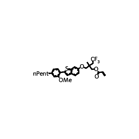 C=CC(=O)OCC(C)(COc1ccc2cc(-c3ccc(CCCCC)cc3OC)sc2c1)CC(F)(F)F